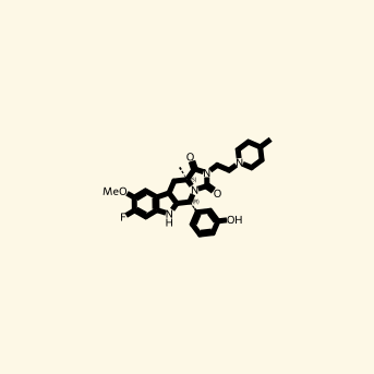 COc1cc2c(cc1F)NC1C2C[C@@]2(C)C(=O)N(CCN3CCC(C)CC3)C(=O)N2[C@@H]1c1cccc(O)c1